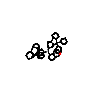 c1ccc(C2(c3ccccc3)c3ccccc3-c3ccc(N(c4ccc5c(c4)-c4c6cccc4-c4cccc-5c4-c4ccccc4-6)c4cccc5ccccc45)cc32)cc1